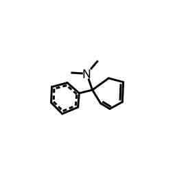 CN(C)C1(c2ccccc2)C=CC=CC1